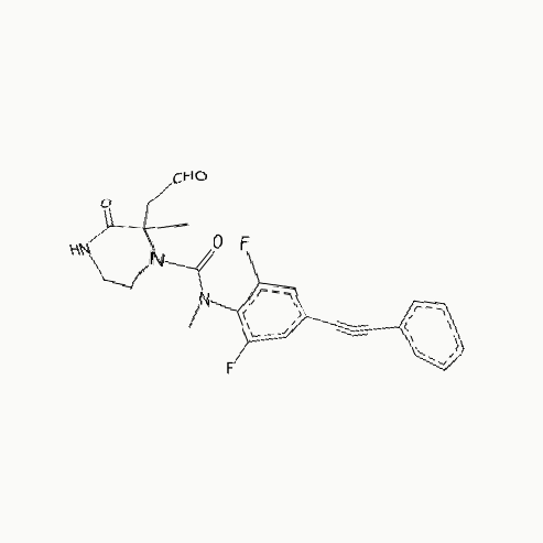 CN(C(=O)N1CCNC(=O)C1(C)CC=O)c1c(F)cc(C#Cc2ccccc2)cc1F